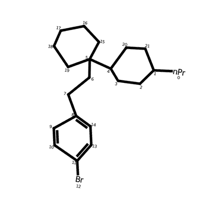 CCCC1CCC(C2(CCc3ccc(Br)cc3)CCCCC2)CC1